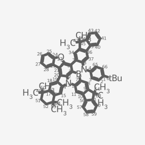 CC(C)(C)c1ccc(N2B3c4cc5c(cc4-n4c6cc7c(cc6c6c8c(oc9ccccc98)c(c3c64)-c3cc4c(cc32)-c2ccccc2C4(C)C)C(C)(C)CCC7(C)C)-c2ccccc2C5(C)C)cc1